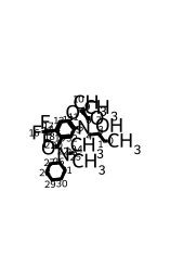 CCC(O)CN1C(=O)C(C)(C)Oc2cc(C(F)(F)F)c(C(=O)N(C(C)C)C3CCCCC3)cc21